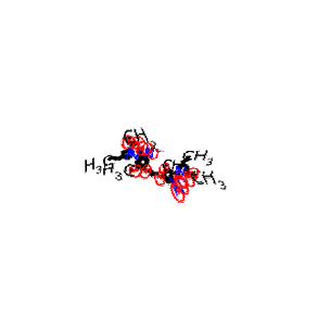 C/C=C/C1=CN(C(=O)c2cc(OC)c(OCCCOc3cc([N+](=O)[O-])c(C(=O)N4C=C(/C=C/C)C[C@H]4C(=O)OC)cc3OC)cc2[N+](=O)[O-])[C@H](C(=O)OC)C1